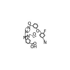 N#Cc1ccc(COc2cccc(C(=O)N3CCN(Cc4nc5ccc(C(=O)O)cc5n4C[C@@H]4CCO4)CC3)c2)c(F)c1